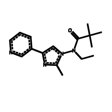 CCN(C(=O)C(C)(C)C)n1cc(-c2cccnc2)nc1C